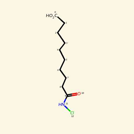 O=C(O)CCCCCCCCC(=O)NCl